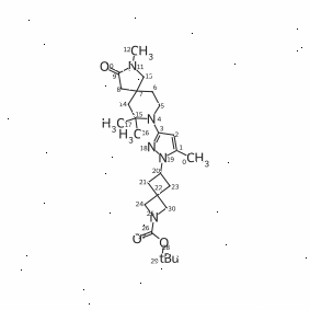 Cc1cc(N2CCC3(CC(=O)N(C)C3)CC2(C)C)nn1C1CC2(C1)CN(C(=O)OC(C)(C)C)C2